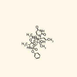 CC=C[C@@](O)([C@H](O)[C@@](F)(COP(=O)(NC(C)C(=O)OC(C)C)Oc1ccccc1)OC)n1ccc(=O)[nH]c1=O